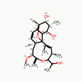 C=C1OC(C(C)O)[C@H](C)/C=C(\C)[C@]23O[C@@H]4C(C=C[C@@H]2C[C@@H]1OC)C3[C@H](O)[C@@H](C)[C@H]4O